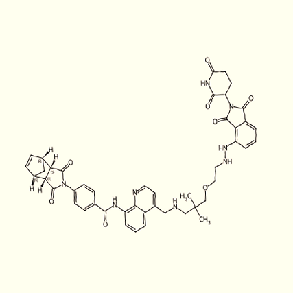 CC(C)(CNCc1ccnc2c(NC(=O)c3ccc(N4C(=O)[C@@H]5[C@H](C4=O)[C@@H]4C=C[C@H]5C4)cc3)cccc12)COCCNNc1cccc2c1C(=O)N(C1CCC(=O)NC1=O)C2=O